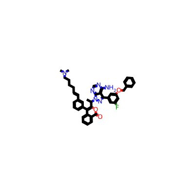 CC(c1oc(=O)c2ccccc2c1-c1cccc(/C=C/CCCCN(C)C)c1)n1nc(-c2cc(F)cc(OCc3ccccc3)c2)c2c(N)ncnc21